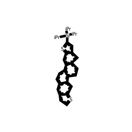 CC(C)[Si](c1cc2cc3ccc4c5cc6sccc6cc5ccc4c3cc2s1)(C(C)C)C(C)C